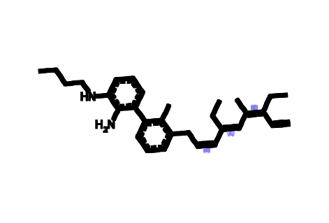 C=C\C(CC)=C(C)/C=C(/C=C\Cc1cccc(-c2cccc(NCCCC)c2N)c1C)CC